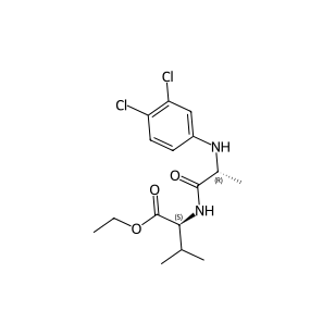 CCOC(=O)[C@@H](NC(=O)[C@@H](C)Nc1ccc(Cl)c(Cl)c1)C(C)C